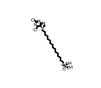 O=P(O)(O)OCCCCCCCCCCCCCCCCn1cnc2nc(Cl)nc(Cl)c21